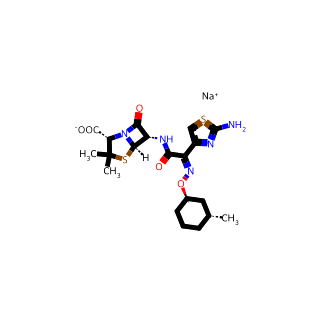 C[C@@H]1CCC[C@@H](O/N=C(\C(=O)N[C@H]2C(=O)N3[C@@H]2SC(C)(C)[C@@H]3C(=O)[O-])c2csc(N)n2)C1.[Na+]